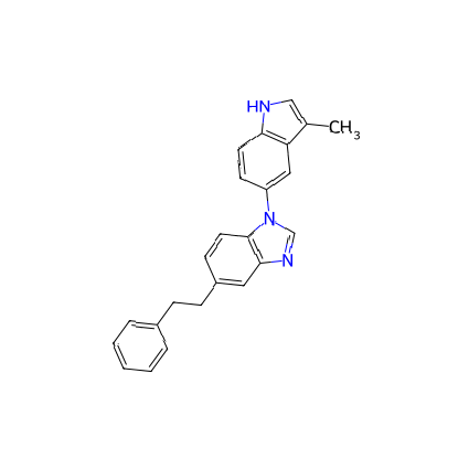 Cc1c[nH]c2ccc(-n3cnc4cc(CCc5ccccc5)ccc43)cc12